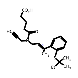 C#CCN(C/C=C(\C)c1ccccc1SC(C)(C)CC)C(=O)CCCC(=O)O